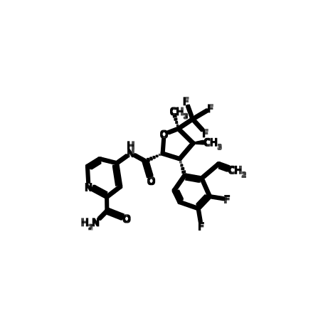 C=Cc1c([C@@H]2[C@H](C(=O)Nc3ccnc(C(N)=O)c3)O[C@@](C)(C(F)(F)F)[C@H]2C)ccc(F)c1F